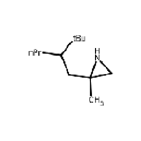 CCCC(CC1(C)CN1)C(C)(C)C